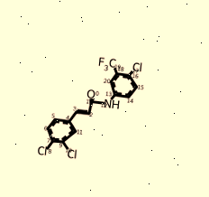 O=C(C=Cc1ccc(Cl)c(Cl)c1)Nc1ccc(Cl)c(C(F)(F)F)c1